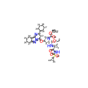 C=C[C@@H]1CC1(NC(=O)[C@@H]1C[C@@H](Oc2cc(-c3ccccc3)nc3c4ccccc4nn23)CN1C(=O)OC(C)(C)C)C(=O)NS(=O)(=O)C1CC1